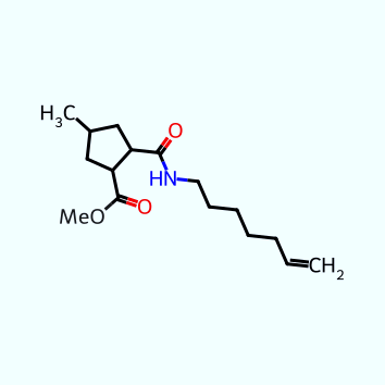 C=CCCCCCNC(=O)C1CC(C)CC1C(=O)OC